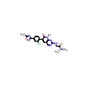 CCn1c(=O)c(-c2ccc(-c3noc(C)n3)cc2Cl)cc2cnc(NCC(=O)N(C)C)nc21